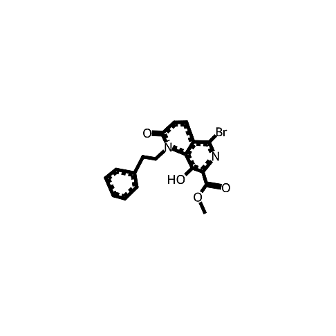 COC(=O)c1nc(Br)c2ccc(=O)n(CCc3ccccc3)c2c1O